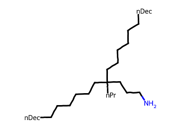 CCCCCCCCCCCCCCCCC(CCC)(CCCN)CCCCCCCCCCCCCCCC